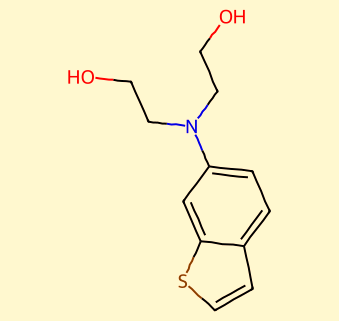 OCCN(CCO)c1ccc2ccsc2c1